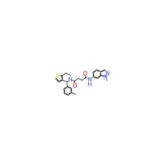 Cc1cccc(C2c3ccsc3CCN2C(=O)CCC(=O)Nc2ccc3cnn(C)c3c2)c1